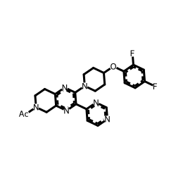 CC(=O)N1CCc2nc(N3CCC(Oc4ccc(F)cc4F)CC3)c(-c3ccncn3)nc2C1